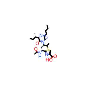 CCCCCCN(C(=O)[C@@H](N)[C@@H](C)CC)[C@H](C[C@@H](NC(C)=O)c1nc(C(=O)O)cs1)C(C)C